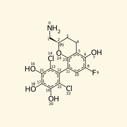 NC[C@H]1CCc2c(O)c(F)cc(-c3c(Cl)c(O)c(O)c(O)c3Cl)c2O1